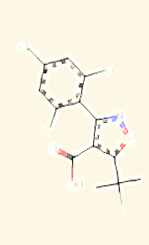 CC(C)(F)c1onc(-c2c(Cl)cc(Cl)cc2Cl)c1C(=O)O